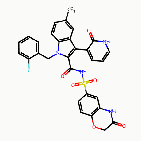 O=C1COc2ccc(S(=O)(=O)NC(=O)c3c(-c4ccc[nH]c4=O)c4cc(C(F)(F)F)ccc4n3Cc3ccccc3F)cc2N1